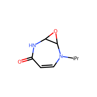 CC(C)N1C=CC(=O)NC2OC21